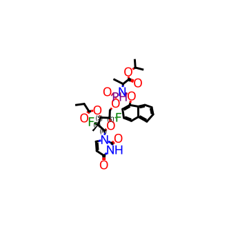 CCC(=O)O[C@H]1[C@@](C)(F)[C@H](n2ccc(=O)[nH]c2=O)O[C@]1(F)CO[PH](=O)N(Oc1cccc2ccccc12)C(C)C(=O)OC(C)C